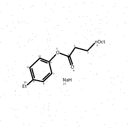 CCCCCCCCCCC(=O)Oc1ccc(CC)cc1.[NaH]